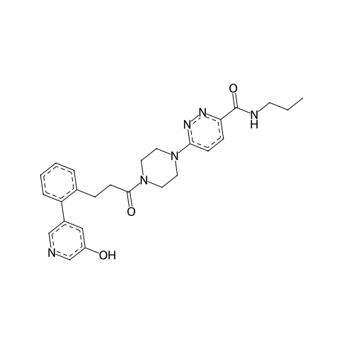 CCCNC(=O)c1ccc(N2CCN(C(=O)CCc3ccccc3-c3cncc(O)c3)CC2)nn1